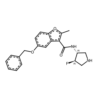 Cc1oc2ccc(OCc3ccccc3)cc2c1C(=O)N[C@@H]1CNC[C@H]1F